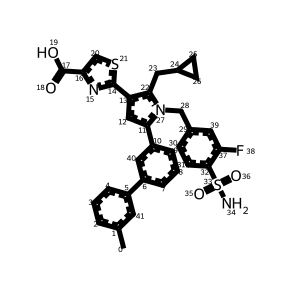 Cc1cccc(-c2cccc(-c3cc(-c4nc(C(=O)O)cs4)c(CC4CC4)n3Cc3ccc(S(N)(=O)=O)c(F)c3)c2)c1